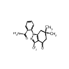 CC1(C)CC(=O)c2c(C(F)(F)F)nn(-c3ccccc3C(N)=O)c2C1